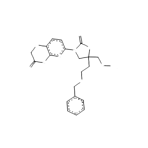 O=C(O)NCC1(CCOCc2ccccc2)CN(c2ccc3c(n2)NC(=O)CO3)C(=O)O1